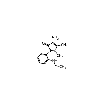 CCNc1ccccc1-n1c(=O)c(N)c(C)n1C